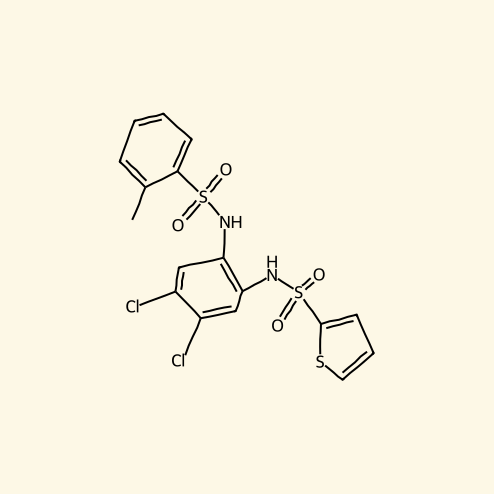 Cc1ccccc1S(=O)(=O)Nc1cc(Cl)c(Cl)cc1NS(=O)(=O)c1cccs1